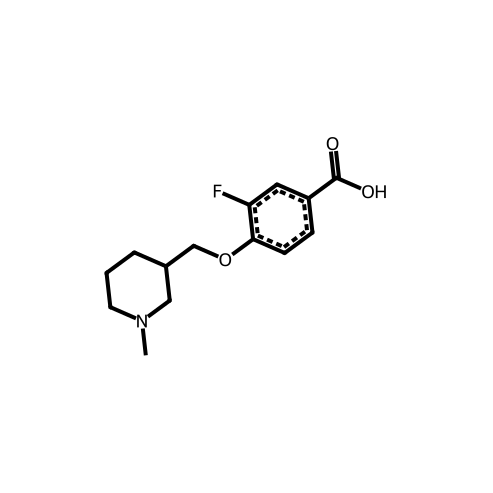 CN1CCCC(COc2ccc(C(=O)O)cc2F)C1